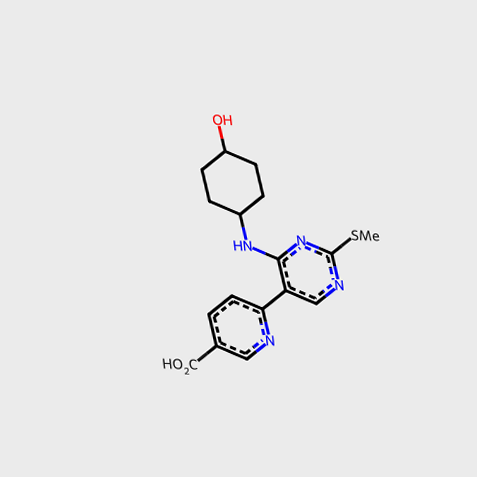 CSc1ncc(-c2ccc(C(=O)O)cn2)c(NC2CCC(O)CC2)n1